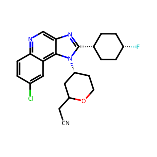 N#CCC1C[C@H](n2c3c(cnc4ccc(Cl)cc43)nc2[C@H]2CC[C@@H](F)CC2)CCO1